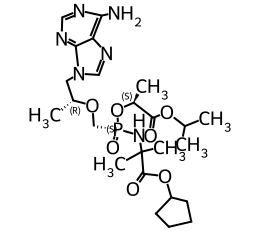 CC(C)OC(=O)[C@H](C)O[P@@](=O)(CO[C@H](C)Cn1cnc2c(N)ncnc21)NC(C)(C)C(=O)OC1CCCC1